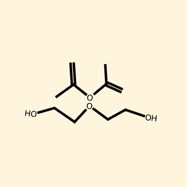 C=C(C)OC(=C)C.OCCOCCO